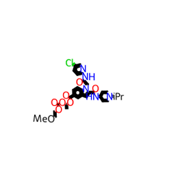 COCCOC(=O)OC(C)OC(=O)c1ccc2c(c1)cc(C(=O)NC1CCN(C(C)C)CC1)n2CC(=O)Nc1ccc(Cl)cn1